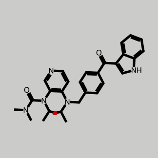 CC(C)N(Cc1ccc(C(=O)c2c[nH]c3ccccc23)cc1)c1ccncc1N(C(=O)N(C)C)C(C)C